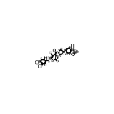 Cc1nc(NCc2ccc(Cl)c(Cl)c2)c(C)c(C(=O)N2CCC(N3CCC(N[S@@+](C)[O-])CC3)CC2)n1